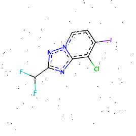 FC(F)c1nc2c(Cl)c(I)ccn2n1